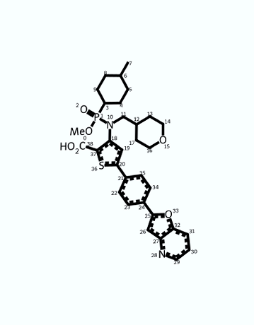 COP(=O)(C1CCC(C)CC1)N(CC1CCOCC1)c1cc(-c2ccc(-c3cc4ncccc4o3)cc2)sc1C(=O)O